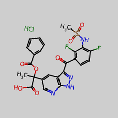 CC(OC(=O)c1ccccc1)(C(=O)O)c1cnc2[nH]nc(C(=O)c3ccc(F)c(NS(C)(=O)=O)c3F)c2c1.Cl